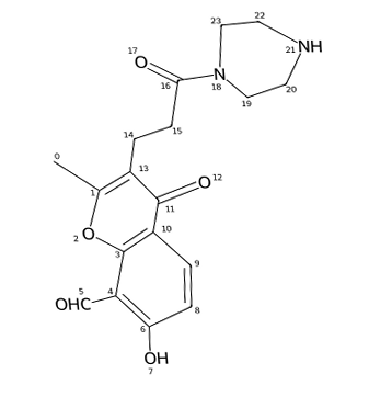 Cc1oc2c(C=O)c(O)ccc2c(=O)c1CCC(=O)N1CCNCC1